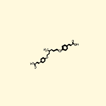 CC(CCCOc1ccc(C=CC(=O)O)cc1)CCOc1ccc(C=CC(=O)O)cc1